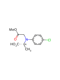 COC(=O)CN(c1ccc(Cl)cc1)[C@H](C)C(=O)O